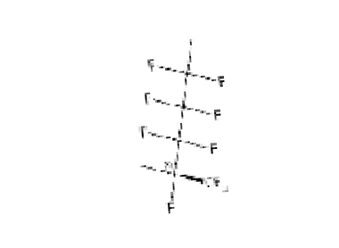 CC(F)(F)C(F)(F)C(F)(F)[C@@](C)(F)C(F)(F)F